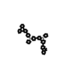 CC1(C)c2ccccc2-c2ccc(-c3ccc4c(c3)c3cc(-c5ccc(N(c6ccccc6)c6ccc(-c7ccc8c9ccccc9c9ccccc9c8c7)cc6)cc5)ccc3n4-c3ccccc3)cc21